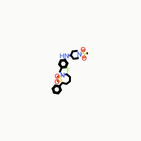 CS(=O)(=O)N1CCC(Nc2ccc(CN3CCCCC(c4ccccc4)S3(=O)=O)c(F)c2)CC1